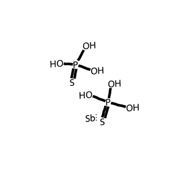 OP(O)(O)=S.OP(O)(O)=S.[Sb]